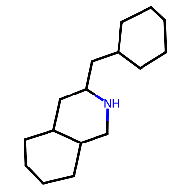 C1CCC(CC2CC3CCCCC3CN2)CC1